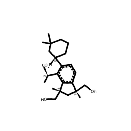 C[C@@H](C(=O)O)c1c([C@@]2(C)CCCC(C)(C)C2)ccc2c1[C@@](C)(CO)C[C@@]2(C)CO